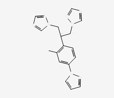 C[C@@H](n1cncn1)[C@](O)(Cn1cncn1)c1ccc(-n2cccn2)cc1F